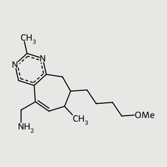 COCCCCC1Cc2nc(C)ncc2C(CN)=CC1C